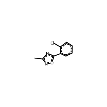 Cc1noc(-c2ccccc2Cl)n1